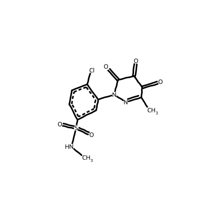 CNS(=O)(=O)c1ccc(Cl)c(N2N=C(C)C(=O)C(=O)C2=O)c1